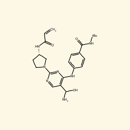 C=CC(=O)N[C@H]1CCN(c2ncc(C(N)O)c(Nc3ccc(C(=O)NC(C)(C)C)cc3)n2)C1